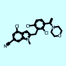 C=C(c1ccc(Cl)c(Cc2cc3c(Cl)cc(C#N)cc3n2C)c1Cl)N1CCOCC1